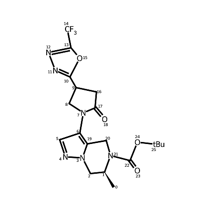 C[C@H]1Cn2ncc(N3CC(c4nnc(C(F)(F)F)o4)CC3=O)c2CN1C(=O)OC(C)(C)C